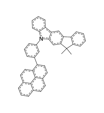 CC1(C)c2ccccc2-c2cc3c4ccccc4n(-c4cccc(-c5ccc6ccc7cccc8ccc5c6c78)c4)c3cc21